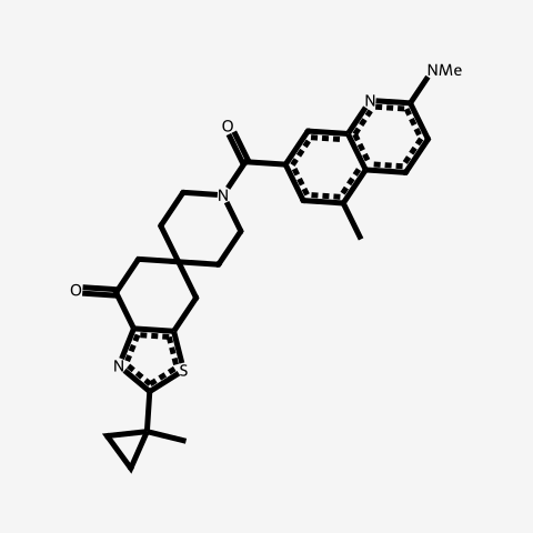 CNc1ccc2c(C)cc(C(=O)N3CCC4(CC3)CC(=O)c3nc(C5(C)CC5)sc3C4)cc2n1